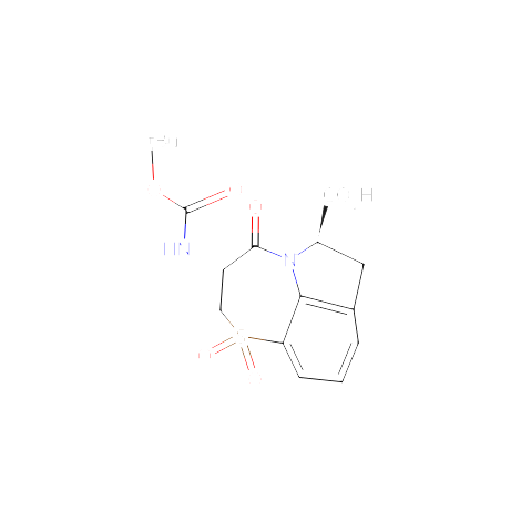 CC(C)(C)OC(=O)N[C@H]1CS(=O)(=O)c2cccc3c2N(C1=O)[C@@H](C(=O)O)C3